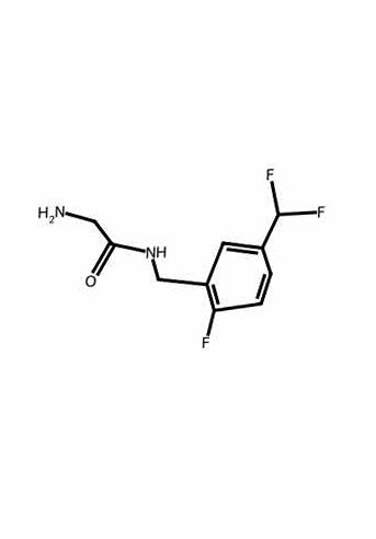 NCC(=O)NCc1cc(C(F)F)ccc1F